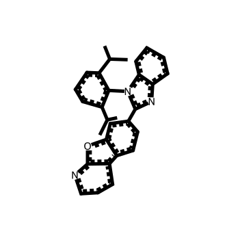 CC(C)c1cccc(C(C)C)c1-n1c(-c2ccc3c(c2)oc2ncccc23)nc2ccccc21